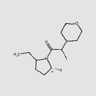 CCC1CC[C@@H](I)N1C(=O)C(I)C1CCOCC1